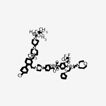 CC(C)(C)OC(=O)N1CCC(N2CCN(C[C@]3(C)CCC(c4ccc(Cl)cc4)=C(CN4CCN(c5ccc(C(=O)NS(=O)(=O)c6ccc(N[C@H](CCN7CCCOCC7)CSc7ccccc7)c(S(=O)(=O)C(F)(F)F)c6)cc5)CC4)C3)CC2)CC1